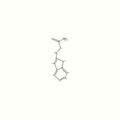 NC(=O)COc1nc2ccccc2s1